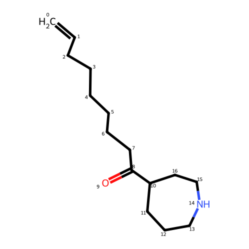 C=CCCCCCCC(=O)C1CCCNCC1